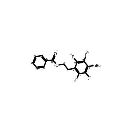 CCCCc1c(F)c(F)c(CCOC(=O)c2ccccc2)c(F)c1F